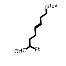 CCCCCCCC/C=C/CCC(C=O)CC